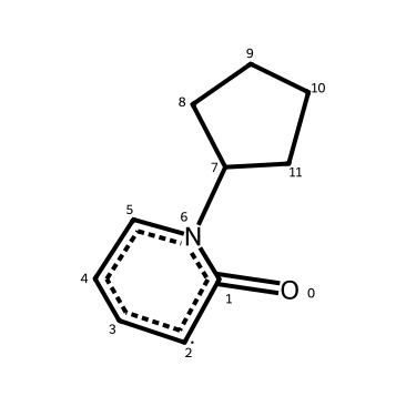 O=c1[c]cccn1C1CCCC1